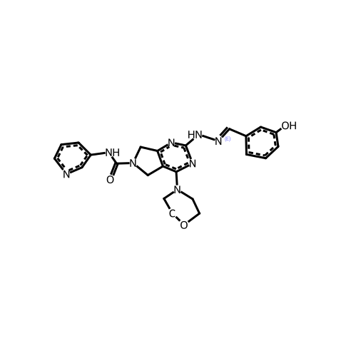 O=C(Nc1cccnc1)N1Cc2nc(N/N=C/c3cccc(O)c3)nc(N3CCOCC3)c2C1